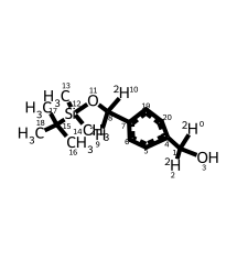 [2H]C([2H])(O)c1ccc(C([2H])([2H])O[Si](C)(C)C(C)(C)C)cc1